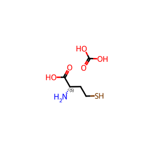 N[C@@H](CCS)C(=O)O.O=C(O)O